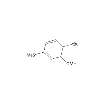 COC1C=C(SC)C=CC1C(C)(C)C